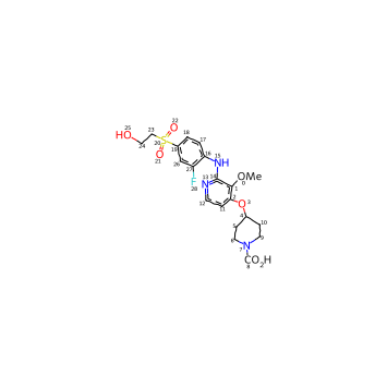 COc1c(OC2CCN(C(=O)O)CC2)ccnc1Nc1ccc(S(=O)(=O)CCO)cc1F